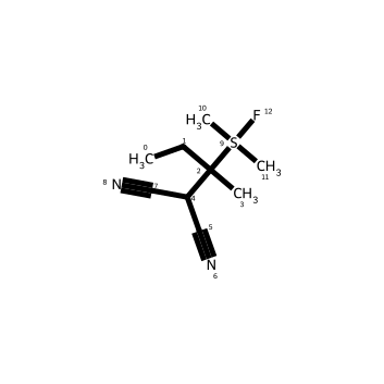 CCC(C)(C(C#N)C#N)S(C)(C)F